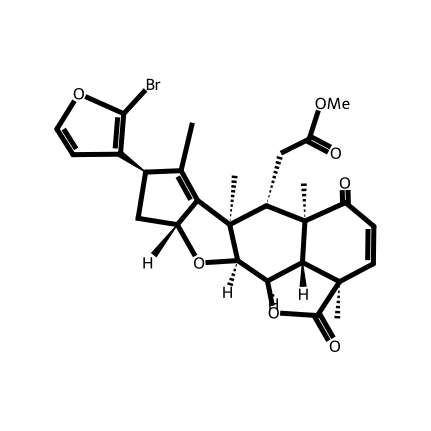 COC(=O)C[C@H]1[C@]2(C)C3=C(C)[C@H](c4ccoc4Br)C[C@H]3O[C@@H]2[C@@H]2OC(=O)[C@]3(C)C=CC(=O)[C@@]1(C)[C@@H]23